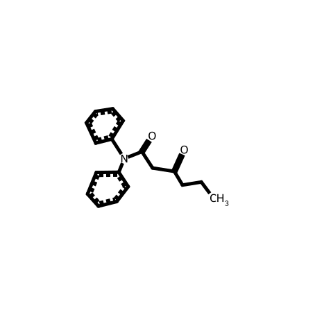 CCCC(=O)CC(=O)N(c1ccccc1)c1ccccc1